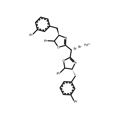 CC(C)c1cccc(C[C@H]2N=C(CC3=N[C@H](Cc4cccc(C(C)C)c4)C(C(C)C)O3)OC2C(C)C)c1.[Br-].[Br-].[Pd+2]